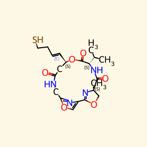 CC(C)[C@@H]1NC(=O)[C@]2(C)COC(=N2)c2coc(n2)CNC(=O)C[C@@H](/C=C/CCS)OC1=O